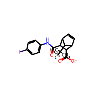 CC(C)(C)C1C2C=CC1C(C(=O)Nc1ccc(I)cc1)C2C(=O)O